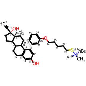 C#C[C@]1(O)CCC2C3CCc4cc(O)ccc4C3[C@@H](c3ccc(OCCCCCS[N+](C)(CCCC)C(C)=O)cc3)C[C@@]21C